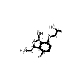 CC(O)COc1ccc(F)c2c1B(O)O[C@@H]2CN